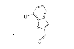 O=Cc1cc2cccc(Cl)c2s1